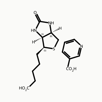 O=C(O)CCCC[C@@H]1SC[C@@H]2NC(=O)N[C@@H]21.O=C(O)c1cccnc1